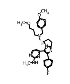 CNc1nccc(-c2c(-c3ccc(F)cc3)nc3n2[C@H](CN(CCCOC)Cc2ccc(OC)cc2)CC3)n1